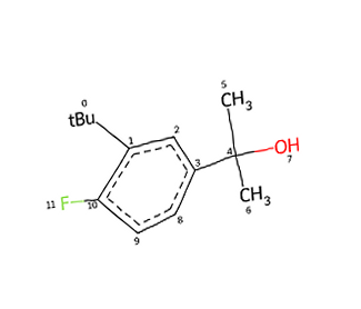 CC(C)(C)c1cc(C(C)(C)O)ccc1F